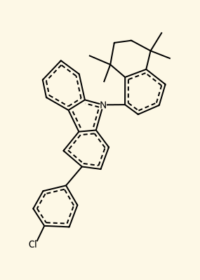 CC1(C)CCC(C)(C)c2c(-n3c4ccccc4c4cc(-c5ccc(Cl)cc5)ccc43)cccc21